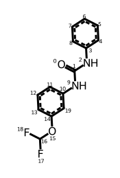 O=C(Nc1ccccc1)Nc1cccc(OC(F)F)c1